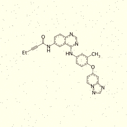 CCC#CC(=O)Nc1ccc2ncnc(Nc3ccc(Oc4ccn5ncnc5c4)c(C)c3)c2c1